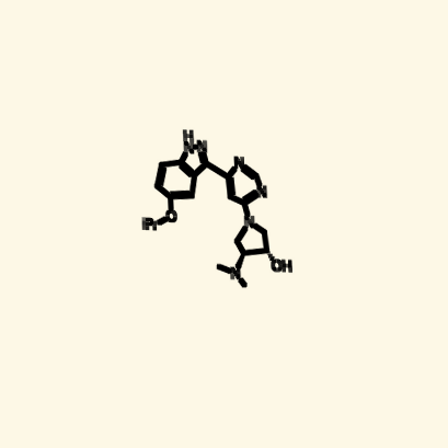 CC(C)Oc1ccc2[nH]nc(-c3cc(N4C[C@H](O)[C@@H](N(C)C)C4)ncn3)c2c1